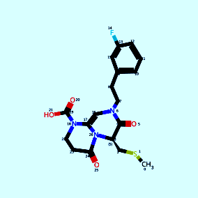 CSC[C@@H]1C(=O)N(CCc2cccc(F)c2)C=C2N(C(=O)O)CCC(=O)N21